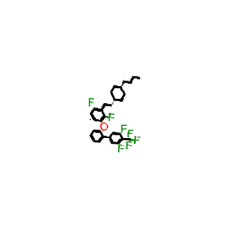 CCCC[C@H]1CC[C@H](CCc2c(F)c[c]c(Oc3ccccc3-c3cc(F)c(C(F)(F)F)c(F)c3)c2F)CC1